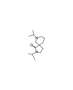 CC(C)N1CCCC2(CCN(C(C)C)C2=O)C1